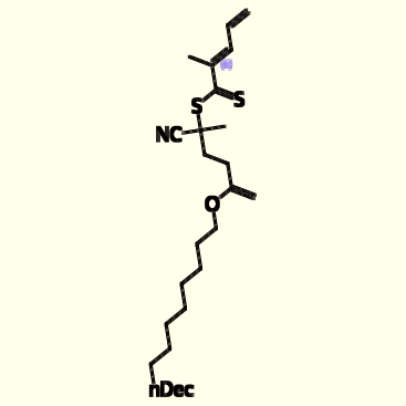 C=C/C=C(\C)C(=S)SC(C)(C#N)CCC(=C)OCCCCCCCCCCCCCCCCCC